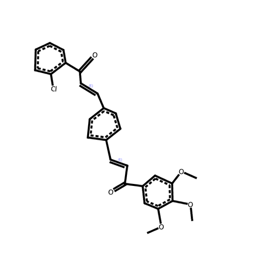 COc1cc(C(=O)/C=C/c2ccc(/C=C/C(=O)c3ccccc3Cl)cc2)cc(OC)c1OC